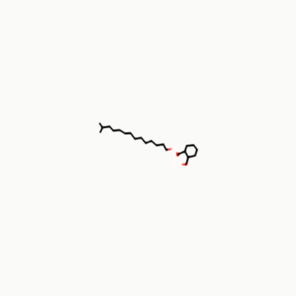 CC(C)CCCCCCCCCCCCOC(=O)C1CCCCC1C(=O)O